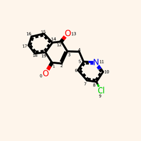 O=C1C=C(Cc2ccc(Cl)cn2)C(=O)c2ccccc21